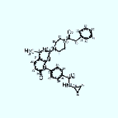 Cc1nc(N2CCN(C(=O)Cc3ccccc3)CC2)nc2c1ccc(=O)n2-c1ccc(C(=O)NC2CC2)cc1